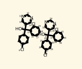 OC(c1ccc(Cl)cc1)(c1cncnc1)c1ccccc1Cl.OC(c1ccc(Cl)cc1)(c1cncnc1)c1ccccc1Cl